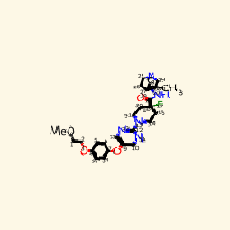 COCCOc1ccc(Oc2cnc(N3CCC(F)(C(=O)NC4(C)CN5CCC4CC5)CC3)nc2)cc1